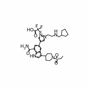 CCS(=O)(=O)N1CCC(c2c[nH]c3c(C(N)=O)cc(-c4cnn(CCNCC5CCCC5)c4)cc23)CC1.O=C(O)C(F)(F)F